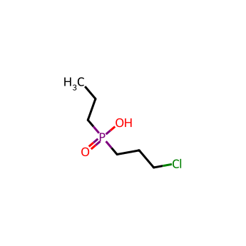 CCCP(=O)(O)CCCCl